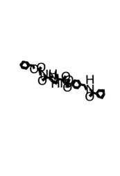 O=C(CNC(=O)c1ccc(C(=O)NS(=O)(=O)c2ccc(CCNC(=O)c3ccccc3)cc2)cn1)OCc1ccccc1